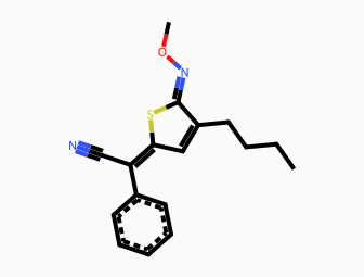 CCCCC1=C/C(=C(/C#N)c2ccccc2)SC1=NOC